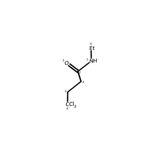 [CH2]CNC(=O)CCC(Cl)(Cl)Cl